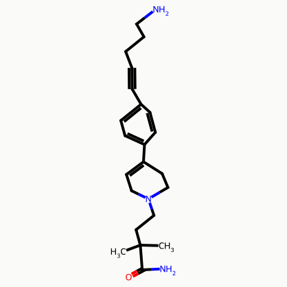 CC(C)(CCN1CC=C(c2ccc(C#CCCCN)cc2)CC1)C(N)=O